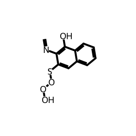 C=Nc1c(SOOO)cc2ccccc2c1O